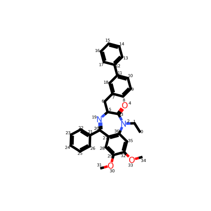 CCN1C(=O)C(Cc2cccc(-c3ccccc3)c2)N=C(c2ccccc2)c2cc(OC)c(OC)cc21